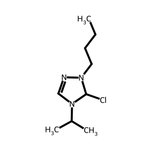 CCCCN1N=CN(C(C)C)C1Cl